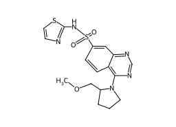 COCC1CCCN1c1ncnc2cc(S(=O)(=O)Nc3nccs3)ccc12